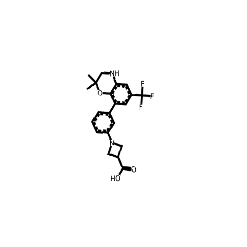 CC1(C)CNc2cc(C(F)(F)F)cc(-c3cccc(N4CC(C(=O)O)C4)c3)c2O1